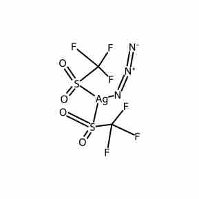 [N-]=[N+]=[N][Ag]([S](=O)(=O)C(F)(F)F)[S](=O)(=O)C(F)(F)F